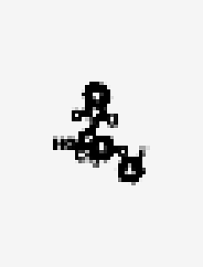 CC(O)(CCN1C(=O)c2ccccc2C1=O)c1ccc(Oc2ccccc2F)cc1